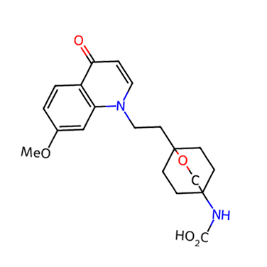 COc1ccc2c(=O)ccn(CCC34CCC(NC(=O)O)(CC3)CO4)c2c1